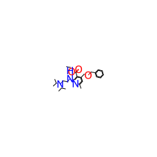 CCOC(=O)c1c(COCc2ccccc2)cc(C)nc1NCCN(C(C)C)C(C)C